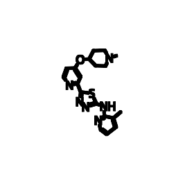 Cc1cccnc1Nc1nnc(-c2cc(OC3CCN(C)CC3)ccn2)s1